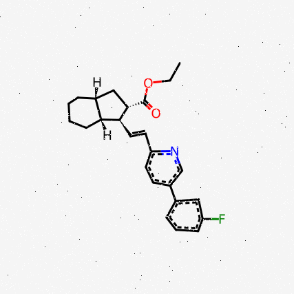 CCOC(=O)[C@H]1C[C@H]2CCCC[C@H]2[C@@H]1/C=C/c1ccc(-c2cccc(F)c2)cn1